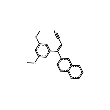 COc1cc(OC)cc(C(=CC#N)c2ccc3ncccc3c2)c1